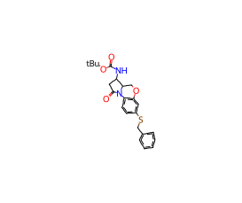 CC(C)(C)OC(=O)NC1CC(=O)N2c3ccc(SCc4ccccc4)cc3OCC12